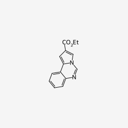 CCOC(=O)c1cc2c3ccccc3ncn2c1